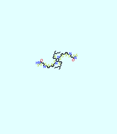 CCCCC(CC)Cc1ccc(-c2c3nc(-c4ccc(-c5ccc(-c6ncc(/C=C7\SC(=S)N(C)C7=O)s6)s5)s4)sc3c(-c3ccc(CC(CC)CCCC)s3)c3nc(-c4ccc(-c5ccc(-c6ncc(/C=C7\SC(=S)NC7=O)s6)s5)s4)sc23)s1